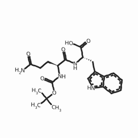 CC(C)(C)OC(=O)N[C@@H](CCC(N)=O)C(=O)N[C@@H](Cc1c[nH]c2ccccc12)C(=O)O